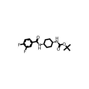 CC(C)(C)OC(=O)N[C@H]1CC[C@@H](NC(=O)c2ccc(F)c(F)c2)CC1